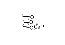 C[O-].C[O-].C[O-].[Ga+3]